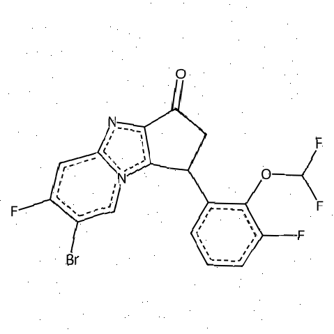 O=C1CC(c2cccc(F)c2OC(F)F)c2c1nc1cc(F)c(Br)cn21